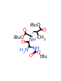 CC(C)COC(=O)C(C)C[C@H](NC(=O)[C@H](N)NC(=O)OC(C)(C)C)C(=O)OCC(C)C